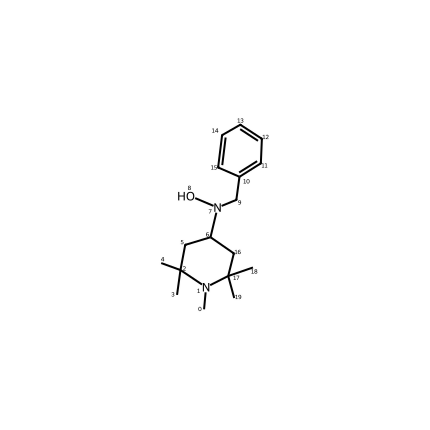 CN1C(C)(C)CC(N(O)Cc2ccccc2)CC1(C)C